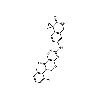 O=C1c2cnc(Nc3ccc4c(c3)CNC(=O)C43CC3)nc2OCN1c1c(Cl)cccc1Cl